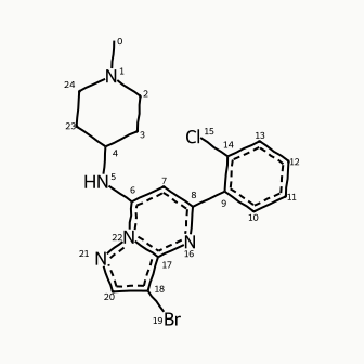 CN1CCC(Nc2cc(-c3ccccc3Cl)nc3c(Br)cnn23)CC1